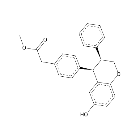 COC(=O)Cc1ccc([C@@H]2c3cc(O)ccc3OC[C@@H]2c2ccccc2)cc1